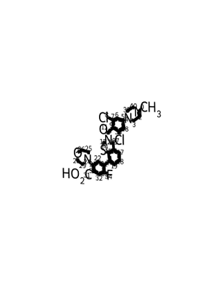 CN1CCN(c2cc(Cl)c(C(=O)N3CSc4c(cccc4-c4cc(N5CCOCC5)c(C(=O)O)cc4F)C3)c(Cl)c2)CC1